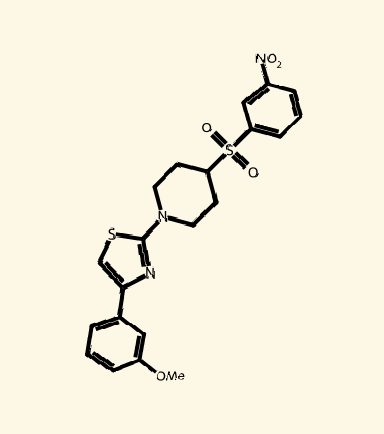 COc1cccc(-c2csc(N3CCC(S(=O)(=O)c4cccc([N+](=O)[O-])c4)CC3)n2)c1